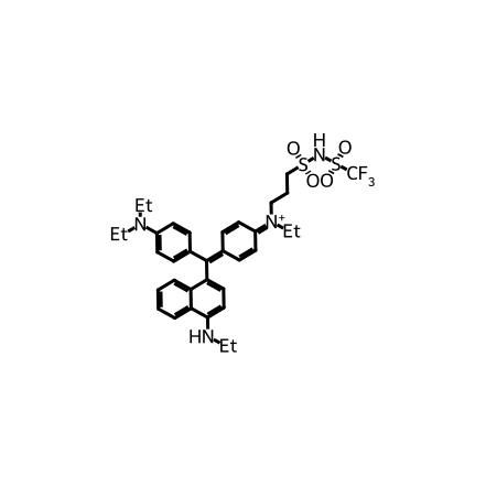 CCNc1ccc(C(=C2C=CC(=[N+](CC)CCCS(=O)(=O)NS(=O)(=O)C(F)(F)F)C=C2)c2ccc(N(CC)CC)cc2)c2ccccc12